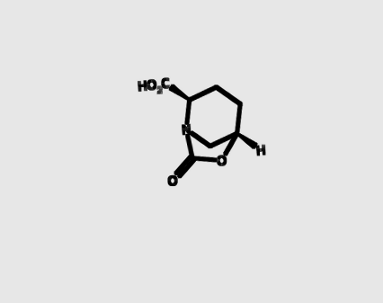 O=C(O)[C@H]1CC[C@H]2CN1C(=O)O2